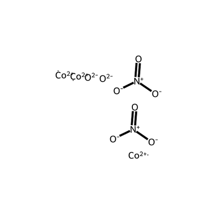 O=[N+]([O-])[O-].O=[N+]([O-])[O-].[Co+2].[Co+2].[Co+2].[O-2].[O-2]